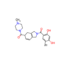 CC(C)c1cc(C(=O)N2CC3=C(CC(C(=O)N4CCN(C)CC4)C=C3)C2)c(O)cc1O